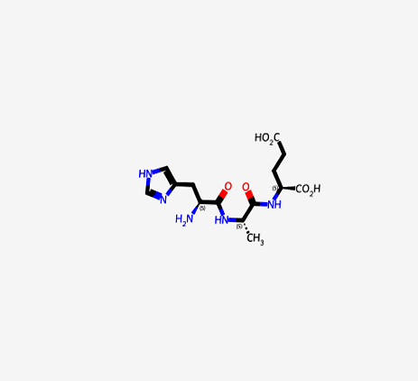 C[C@H](NC(=O)[C@@H](N)Cc1c[nH]cn1)C(=O)N[C@@H](CCC(=O)O)C(=O)O